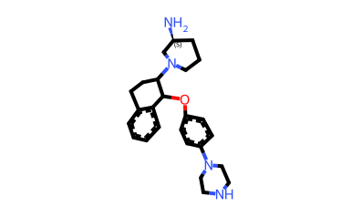 N[C@H]1CCCN(C2CCc3ccccc3C2Oc2ccc(N3CCNCC3)cc2)C1